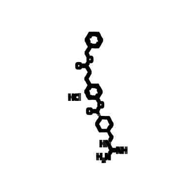 Cl.N=C(N)NC[C@H]1CC[C@H](C(=O)Oc2ccc(CCC(=O)OCc3ccccc3)cc2)CC1